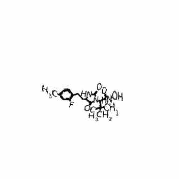 Cc1ccc(CCC2NC(=O)N(C(C(=O)NO)C(C)(C)C)C2=O)c(F)c1